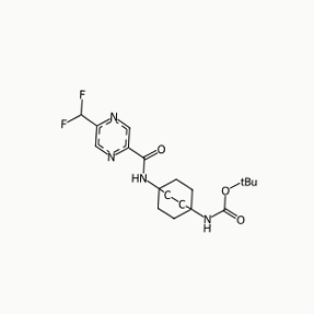 CC(C)(C)OC(=O)NC12CCC(NC(=O)c3cnc(C(F)F)cn3)(CC1)CC2